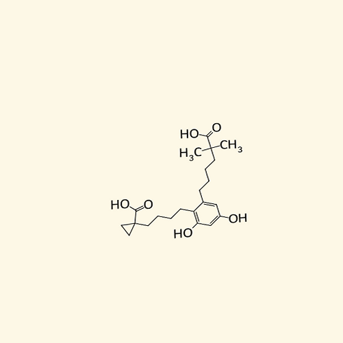 CC(C)(CCCCc1cc(O)cc(O)c1CCCCC1(C(=O)O)CC1)C(=O)O